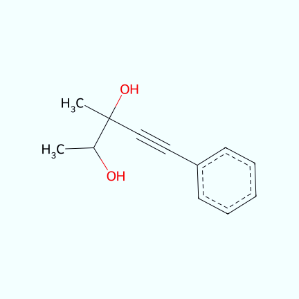 CC(O)C(C)(O)C#Cc1ccccc1